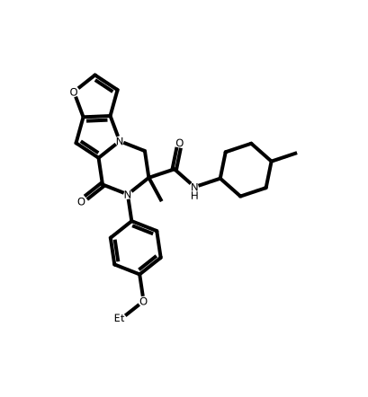 CCOc1ccc(N2C(=O)c3cc4occc4n3CC2(C)C(=O)NC2CCC(C)CC2)cc1